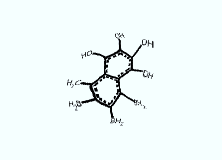 Bc1c(B)c(C)c2c(O)c(O)c(O)c(O)c2c1B